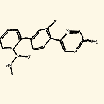 CN[S+]([O-])c1ccccc1-c1ccc(-c2cnc(N)cn2)c(F)c1